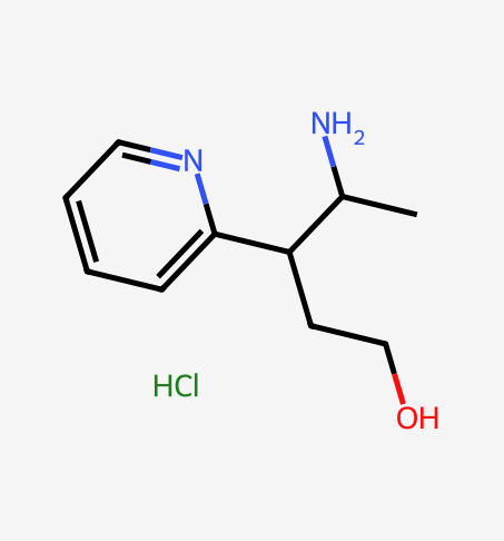 CC(N)C(CCO)c1ccccn1.Cl